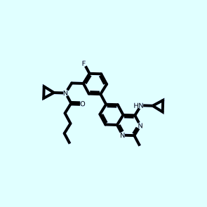 CCCCC(=O)N(Cc1cc(-c2ccc3nc(C)nc(NC4CC4)c3c2)ccc1F)C1CC1